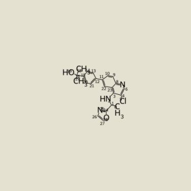 CC(Nc1c(Cl)cnc2ccc(-c3ccc(C(C)(C)O)cc3)cc12)c1ncco1